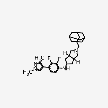 Cc1nn(C)cc1-c1ccc(NC2C[C@@H]3CN(CC45CC6CC(CC(C6)C4)C5)C[C@@H]3C2)c(F)c1F